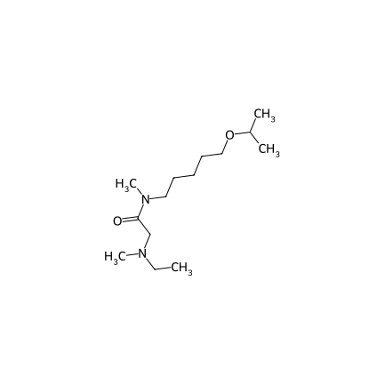 CCN(C)CC(=O)N(C)CCCCCOC(C)C